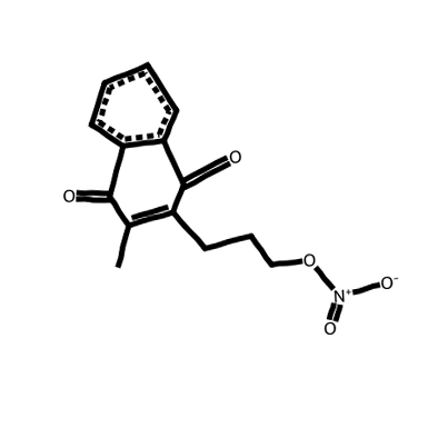 CC1=C(CCCO[N+](=O)[O-])C(=O)c2ccccc2C1=O